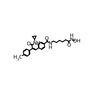 Cc1ccc(C(=Cc2ccc(C(=O)NCCCCCC(=O)NO)cc2)C(=O)NC2CC2)cc1